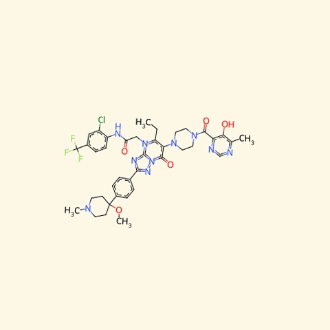 CCc1c(N2CCN(C(=O)c3ncnc(C)c3O)CC2)c(=O)n2nc(-c3ccc(C4(OC)CCN(C)CC4)cc3)nc2n1CC(=O)Nc1ccc(C(F)(F)F)cc1Cl